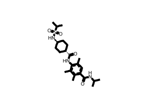 Cc1cc(C(=O)NC(C)C)c(C)c(C)c1NC(=O)[C@H]1CC[C@H](NS(=O)(=O)C(C)C)CC1